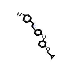 CC(=O)c1ccc(/C=C/c2ccc(Oc3cccc(OCC4CC4)c3)cc2)cc1